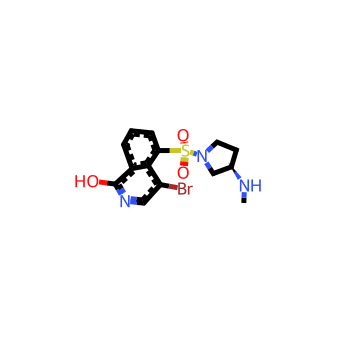 CN[C@@H]1CCN(S(=O)(=O)c2cccc3c(O)ncc(Br)c23)C1